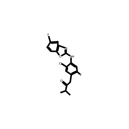 CC(C)C(=O)Cc1cc(Cl)c(Nc2nc3cc(F)ccc3o2)cc1F